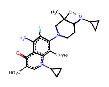 COc1c(N2CCC(NC3CC3)C(C)(C)C2)c(F)c(N)c2c(=O)c(C(=O)O)cn(C3CC3)c12